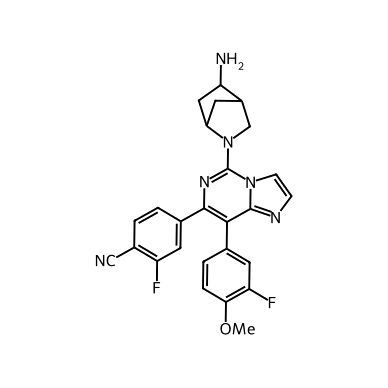 COc1ccc(-c2c(-c3ccc(C#N)c(F)c3)nc(N3CC4CC3CC4N)n3ccnc23)cc1F